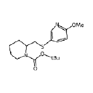 COc1ccc(SCC2CCCCN2C(=O)OC(C)(C)C)cn1